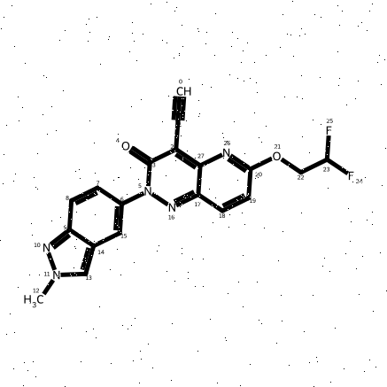 C#Cc1c(=O)n(-c2ccc3nn(C)cc3c2)nc2ccc(OCC(F)F)nc12